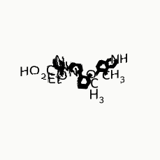 CCOc1c(C(=O)O)cnn1-c1cccc(-c2cccc(C)c2OCc2ccc3c(c2C)CCNC3)n1